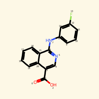 O=C(O)c1cnc(Nc2cccc(F)c2)c2ccccc12